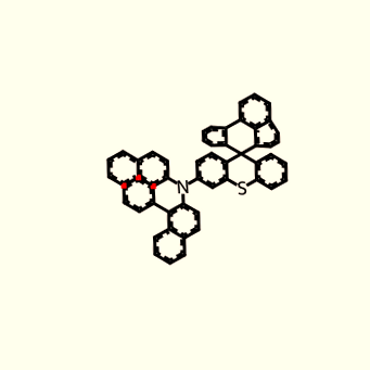 c1ccc(-c2c(N(c3ccc4c(c3)Sc3ccccc3C43c4ccccc4-c4cccc5cccc3c45)c3ccc4ccccc4c3)ccc3ccccc23)cc1